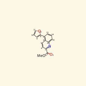 COC(=O)c1ccc2c(-c3ccco3)cccc2n1